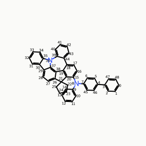 c1ccc(-c2ccc(N(c3ccccc3)c3ccc4c5c3C3(CCCC3)c3ccc6c7ccccc7n(c6c3-5)-c3ccccc3-4)cc2)cc1